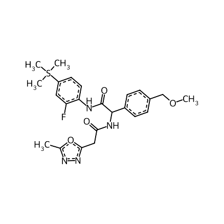 COCc1ccc(C(NC(=O)Cc2nnc(C)o2)C(=O)Nc2ccc(S(C)(C)C)cc2F)cc1